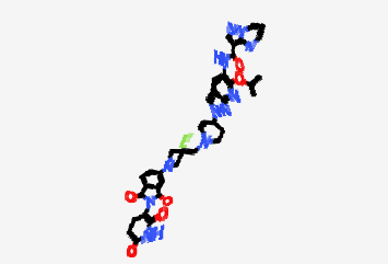 CC(C)Oc1nc2nn(C3CCN(CC4(F)CN(c5ccc6c(c5)C(=O)N(C5CCC(=O)NC5=O)C6=O)C4)CC3)cc2cc1NC(=O)c1cnn2cccnc12